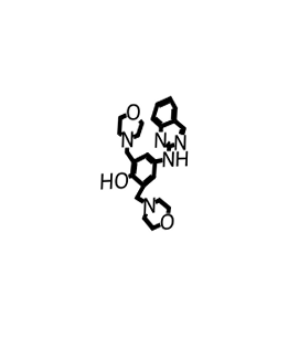 Oc1c(CN2CCOCC2)cc(Nc2ncc3ccccc3n2)cc1CN1CCOCC1